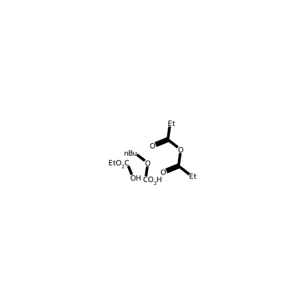 CCC(=O)OC(=O)CC.CCCCOC(=O)O.CCOC(=O)O